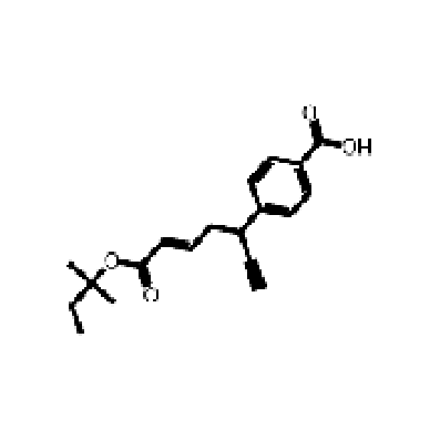 C#CC(C/C=C/C(=O)OC(C)(C)CC)c1ccc(C(=O)O)cc1